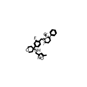 Cc1cc(CNC2(c3ccc(CN4[C@@H](C)CC[C@H](c5ccccc5)[S+]4[O-])c(F)c3)CCOCC2)no1